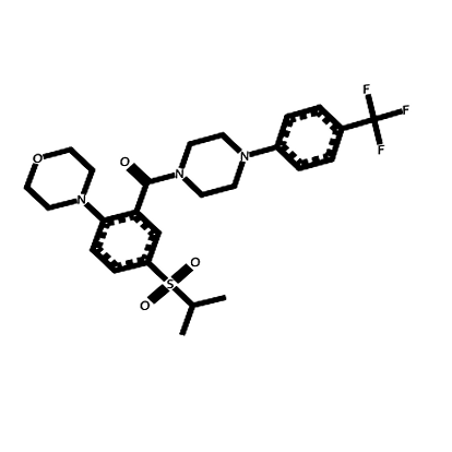 CC(C)S(=O)(=O)c1ccc(N2CCOCC2)c(C(=O)N2CCN(c3ccc(C(F)(F)F)cc3)CC2)c1